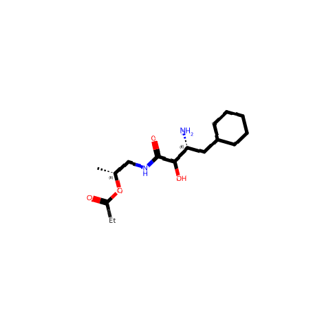 CCC(=O)O[C@H](C)CNC(=O)C(O)[C@H](N)CC1CCCCC1